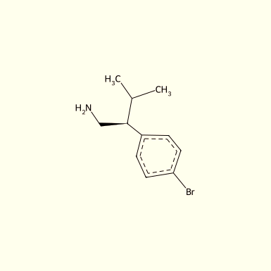 CC(C)[C@H](CN)c1ccc(Br)cc1